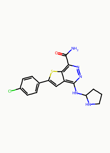 NC(=O)c1nnc(NC2CCCN2)c2cc(-c3ccc(Cl)cc3)sc12